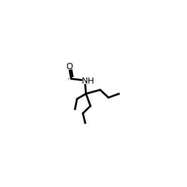 CCCC(CC)(CCC)N[C]=O